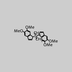 COc1cc2c(cc1OC)C([Si](C)(C)C1C=Cc3cc(OC)c(OC)cc31)C=C2